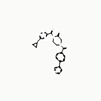 N=C1CN(C(=O)c2ccc(-c3ccsc3)cc2)CCN1C(=N)c1nc(C2CC2)ns1